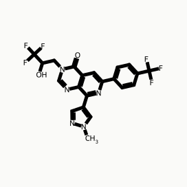 Cn1cc(-c2nc(-c3ccc(C(F)(F)F)cc3)cc3c(=O)n(CC(O)C(F)(F)F)cnc23)cn1